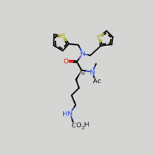 CC(=O)N(C)[C@@H](CCCCNC(=O)O)C(=O)N(Cc1cccs1)Cc1cccs1